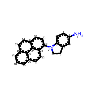 Nc1ccc2c(c1)CCN2c1ccc2ccc3cccc4ccc1c2c34